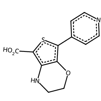 O=C(O)c1sc(-c2ccncc2)c2c1NCCO2